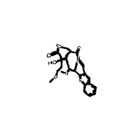 COCCC1(O)C(=O)OCC2=C1C(OC)C1c3nc4ccccc4cc3CN1C2=O